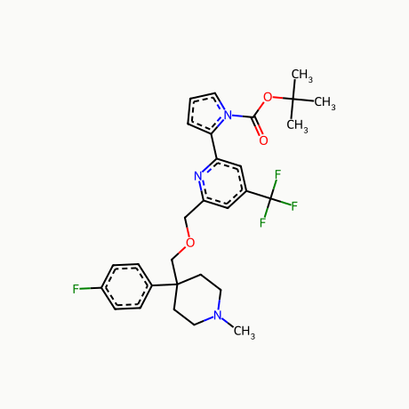 CN1CCC(COCc2cc(C(F)(F)F)cc(-c3cccn3C(=O)OC(C)(C)C)n2)(c2ccc(F)cc2)CC1